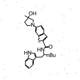 CCCCC(Cc1c[nH]c2ccccc12)NC(=O)c1cc2ccc(N3CCC(C)(O)C3)cc2s1